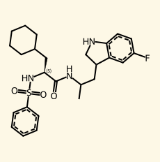 CC(CC1CNc2ccc(F)cc21)NC(=O)[C@H](CC1CCCCC1)NS(=O)(=O)c1ccccc1